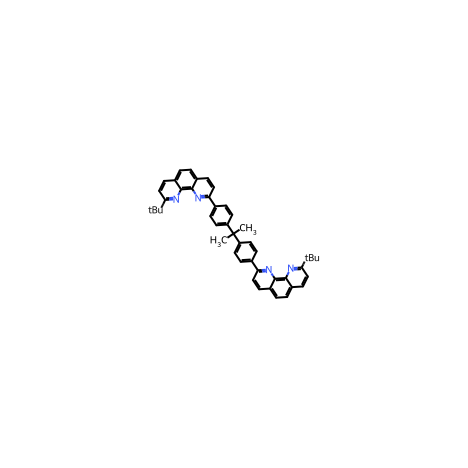 CC(C)(C)c1ccc2ccc3ccc(-c4ccc(C(C)(C)c5ccc(-c6ccc7ccc8ccc(C(C)(C)C)nc8c7n6)cc5)cc4)nc3c2n1